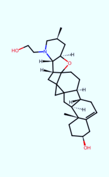 C[C@H]1C[C@H]2OC34CC[C@H]5[C@@H]6CC=C7C[C@@H](O)CC[C@]7(C)[C@H]6CC56CC63C[C@@H]4[C@@H]2N(CCO)C1